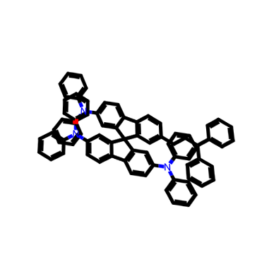 c1ccc(C(CCc2ccc3c(c2)C2(c4cc(N(c5ccccc5)c5ccccc5)ccc4-3)c3cc(N(c4ccccc4)c4ccccc4)ccc3-c3ccc(N(c4ccccc4)c4ccccc4)cc32)c2ccccc2)cc1